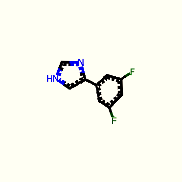 Fc1cc(F)cc(-c2c[nH]cn2)c1